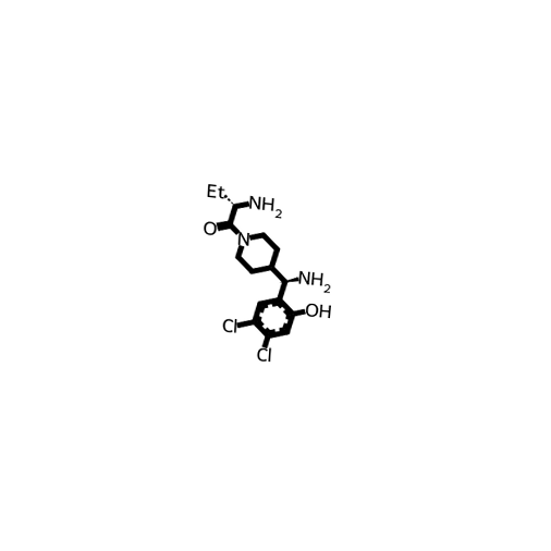 CC[C@H](N)C(=O)N1CCC([C@@H](N)c2cc(Cl)c(Cl)cc2O)CC1